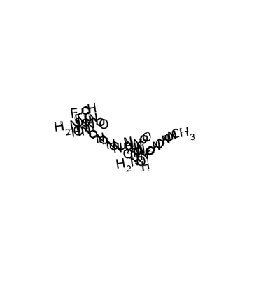 COc1c(CN2CCN(C3CCN(c4ccc(Nc5nc(NC6CCOCC6)c(-c6ccccc6C(F)F)nc5C(N)=O)cc4)CC3)CC2)cncc1-c1nc(C(N)=O)c(Nc2ccc(N3CCC(N4CCN(C)CC4)CC3)cc2)nc1NC1CCOCC1